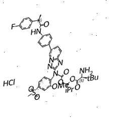 COc1cc(S(C)(=O)=O)ccc1N(C(=O)OC(OC(=O)[C@@H](N)C(C)(C)C)C(C)C)c1nc2ccc(-c3ccc(NC(=O)[C@H](C)c4ccc(F)cc4)cc3)cn2n1.Cl